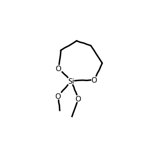 CO[Si]1(OC)OCCCCO1